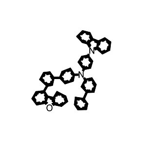 c1ccc(-c2cccc(N(c3ccc(-c4cccc(-c5cccc6oc7ccccc7c56)c4)cc3)c3ccc(-n4c5ccccc5c5ccccc54)cc3)c2)cc1